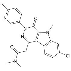 Cc1ccc(-n2nc(CC(=O)N(C)C)c3c4ccc(Cl)cc4n(C)c3c2=O)cn1